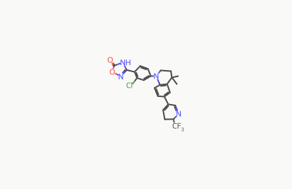 CC1(C)CCN(c2ccc(-c3noc(=O)[nH]3)c(Cl)c2)c2ccc(C3=CCC(C(F)(F)F)N=C3)cc21